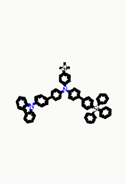 C[Si](C)(C)c1ccc(N(c2ccc(-c3ccc(-n4c5ccccc5c5ccccc54)cc3)cc2)c2ccc(-c3ccc([Si](c4ccccc4)(c4ccccc4)c4ccccc4)cc3)cc2)cc1